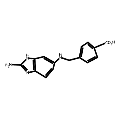 Nc1nc2ccc(NCc3ccc(C(=O)O)cc3)cc2[nH]1